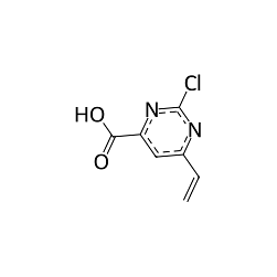 C=Cc1cc(C(=O)O)nc(Cl)n1